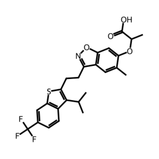 Cc1cc2c(CCc3sc4cc(C(F)(F)F)ccc4c3C(C)C)noc2cc1OC(C)C(=O)O